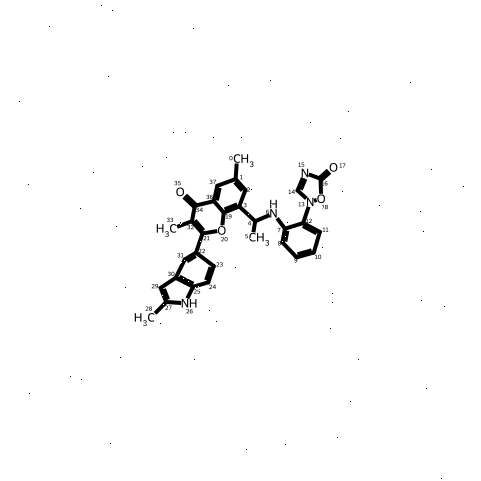 Cc1cc(C(C)Nc2ccccc2-n2cnc(=O)o2)c2oc(-c3ccc4[nH]c(C)cc4c3)c(C)c(=O)c2c1